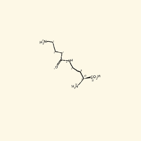 NCCCC(=O)NCC[C@H](N)C(=O)O